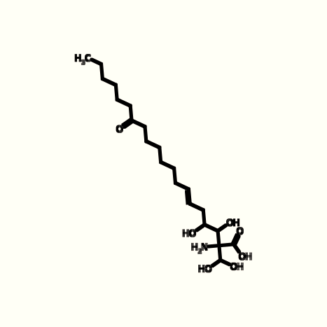 CCCCCCC(=O)CCCCCC/C=C/CC(O)C(O)C(N)(C(=O)O)C(O)O